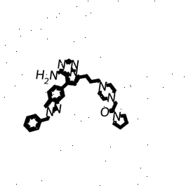 Nc1ncnn2c(CCCN3CCN(CC(=O)N4CCCC4)CC3)cc(-c3ccc4cn(Cc5ccccc5)nc4c3)c12